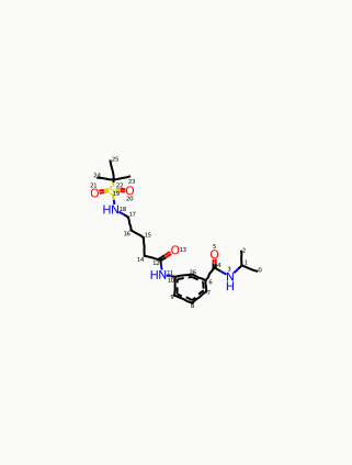 CC(C)NC(=O)c1cccc(NC(=O)CCCCNS(=O)(=O)C(C)(C)C)c1